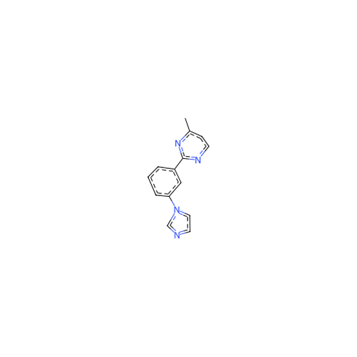 Cc1ccnc(-c2cccc(-n3ccnc3)c2)n1